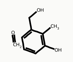 C=O.Cc1c(O)cccc1CO